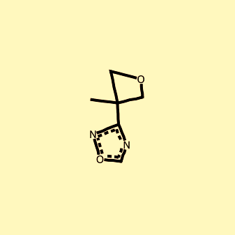 CC1(c2ncon2)COC1